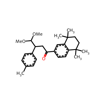 COC(OC)C(CC(=O)c1ccc2c(c1)C(C)(C)CCC2(C)C)c1ccc(C)cc1